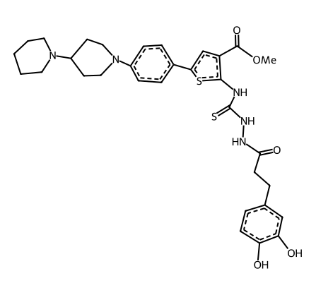 COC(=O)c1cc(-c2ccc(N3CCC(N4CCCCC4)CC3)cc2)sc1NC(=S)NNC(=O)CCc1ccc(O)c(O)c1